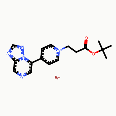 CC(C)(C)OC(=O)CC[n+]1ccc(-c2cncc3ncnn23)cc1.[Br-]